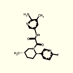 Cc1cc(NC(=O)C(=O)N2C[C@@H](C)CC[C@@H]2c2ccc(F)nc2)cnc1N